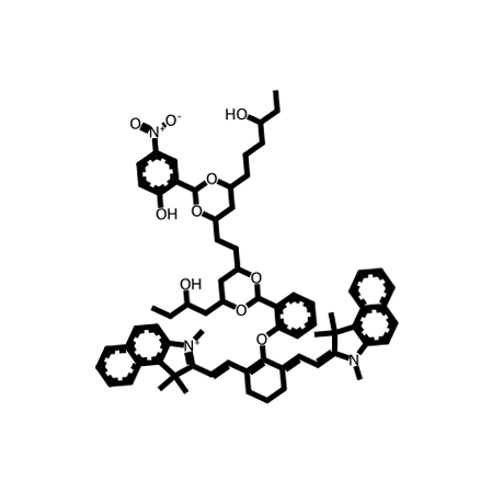 CCC(O)CCCC1CC(CCC2CC(CC(O)CC)OC(c3ccccc3OC3=C(/C=C/C4=[N+](C)c5ccc6ccccc6c5C4(C)C)CCC/C3=C\C=C3\N(C)c4ccc5ccccc5c4C3(C)C)O2)OC(c2cc([N+](=O)[O-])ccc2O)O1